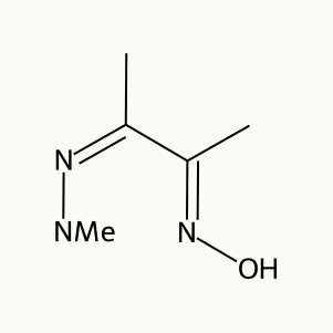 CNN=C(C)C(C)=NO